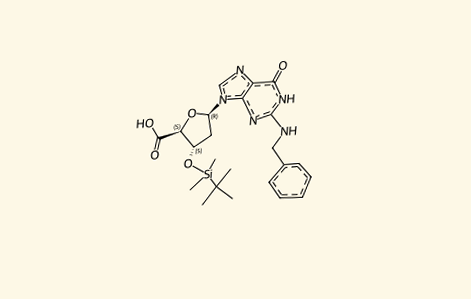 CC(C)(C)[Si](C)(C)O[C@H]1C[C@H](n2cnc3c(=O)[nH]c(NCc4ccccc4)nc32)O[C@@H]1C(=O)O